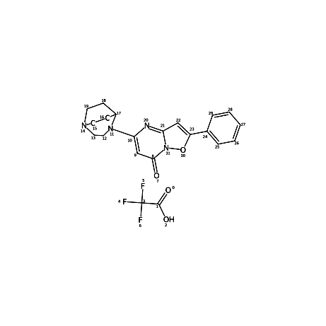 O=C(O)C(F)(F)F.O=c1cc(N2CCN3CCC2CC3)nc2cc(-c3ccccc3)on12